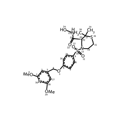 COc1cc(COc2ccc(S(=O)(=O)N3CCSC(C)(C)[C@@H]3C(=O)NO)cc2)cc(OC)n1